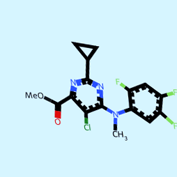 COC(=O)c1nc(C2CC2)nc(N(C)c2cc(F)c(F)cc2F)c1Cl